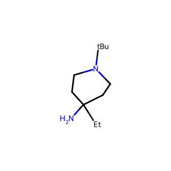 CCC1(N)CCN(C(C)(C)C)CC1